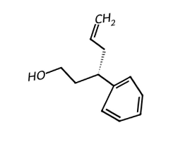 C=CC[C@@H](CCO)c1ccccc1